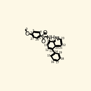 COc1ccc(S(=O)(=O)Nc2ccc(-c3ccccc3)c3cccnc23)cc1